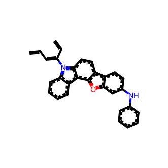 C=C/C=C(\C=C)n1c2ccccc2c2c3oc4cc(Nc5ccccc5)ccc4c3ccc21